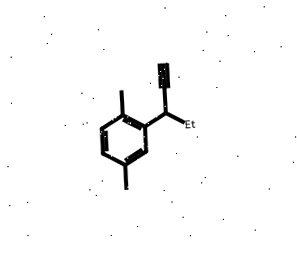 [C]#CC(CC)c1cc(C)ccc1C